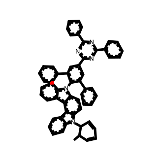 CC1C=CC=CC1n1c2ccccc2c2c3c4ccccc4n(-c4c(-c5ccccc5)cc(-c5nc(-c6ccccc6)nc(-c6ccccc6)n5)cc4-c4ccccc4)c3ccc21